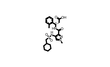 Cc1ccccc1[C@H](CC(=O)O)NC(=O)c1nn(C)cc1NS(=O)(=O)CC1CCCCC1